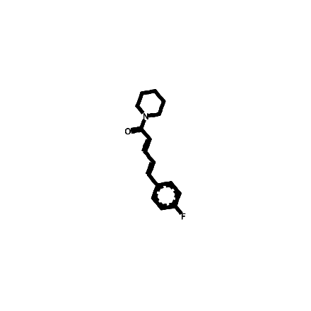 O=C(/C=C/C=C/c1ccc(F)cc1)N1CCCCC1